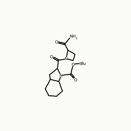 CC(C)(C)OC(=O)N1C(C(=O)N2CCC2C(N)=O)CC2CCCCC21